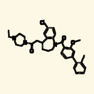 CCN1CCN(C(=O)CC2CCCN(C(=O)c3ccc(-c4ccccc4C)cc3OC)c3ccc(Cl)cc32)CC1